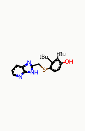 CC(C)(C)c1c(O)ccc(SCc2nc3cccnc3[nH]2)c1C(C)(C)C